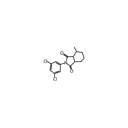 CC1CCCC2C(=O)N(c3cc(Cl)cc(Cl)c3)C(=O)C12